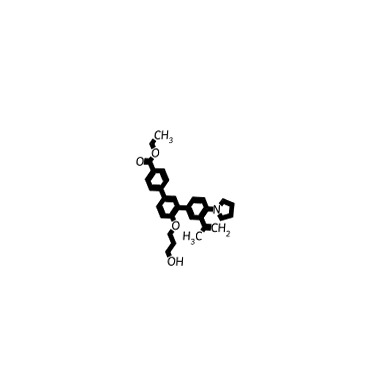 C=C(C)c1cc(-c2cc(-c3ccc(C(=O)OCC)cc3)ccc2OCCCO)ccc1N1CCCC1